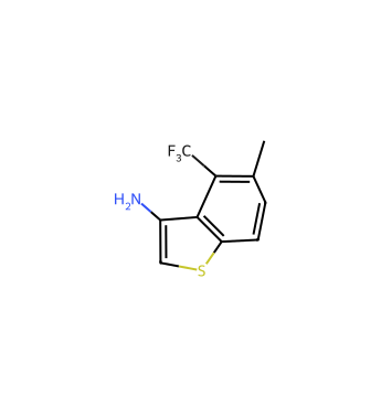 Cc1ccc2scc(N)c2c1C(F)(F)F